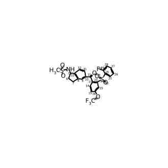 CS(=O)(=O)NC1CCc2cc(C(=O)c3ccc(OC(F)(F)F)cc3S(=O)(=O)c3ccccc3F)ccc21